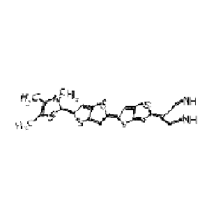 CC1=C(C)N(C)/C(=c2\cc3s/c(=c4\cc5sc(=C(C=N)C=N)cc5s4)cc3s2)S1